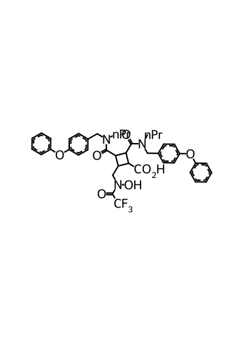 CCCN(Cc1ccc(Oc2ccccc2)cc1)C(=O)C1C(CN(O)C(=O)C(F)(F)F)C(C(=O)O)C1C(=O)N(CCC)Cc1ccc(Oc2ccccc2)cc1